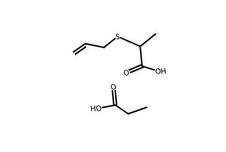 C=CCSC(C)C(=O)O.CCC(=O)O